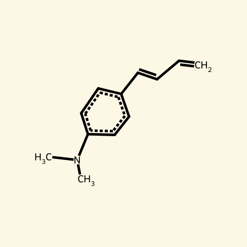 C=CC=Cc1ccc(N(C)C)cc1